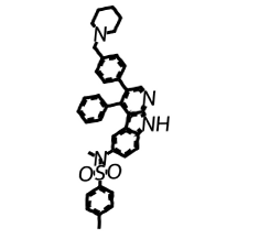 Cc1ccc(S(=O)(=O)N(C)c2ccc3[nH]c4ncc(-c5ccc(CN6CCCCC6)cc5)c(-c5ccccc5)c4c3c2)cc1